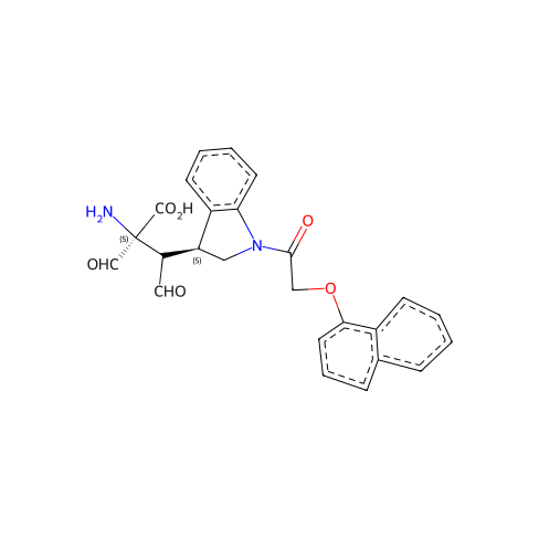 N[C@@](C=O)(C(=O)O)C(C=O)[C@@H]1CN(C(=O)COc2cccc3ccccc23)c2ccccc21